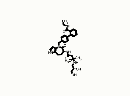 CCNC(=O)c1ccccc1-c1ccc(CN2C(=O)[C@H](NC(=O)CC(C)(C)NC[C@H](O)CO)CCc3[nH]ccc32)cc1